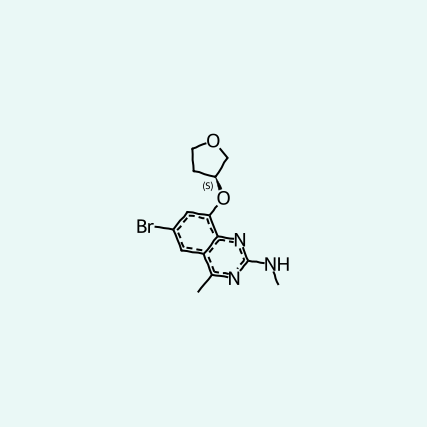 CNc1nc(C)c2cc(Br)cc(O[C@H]3CCOC3)c2n1